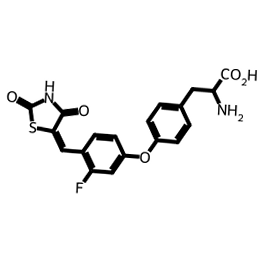 NC(Cc1ccc(Oc2ccc(C=C3SC(=O)NC3=O)c(F)c2)cc1)C(=O)O